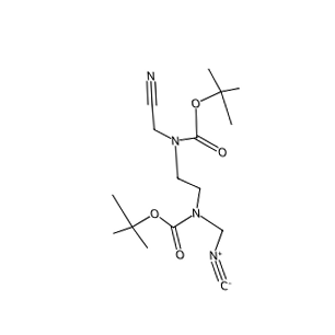 [C-]#[N+]CN(CCN(CC#N)C(=O)OC(C)(C)C)C(=O)OC(C)(C)C